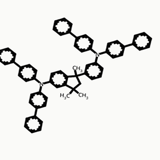 CC1(C)CC(C)(c2cccc(N(c3ccc(-c4ccccc4)cc3)c3ccc(-c4ccccc4)cc3)c2)c2ccc(N(c3ccc(-c4ccccc4)cc3)c3ccc(-c4ccccc4)cc3)cc21